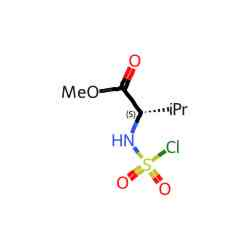 COC(=O)[C@@H](NS(=O)(=O)Cl)C(C)C